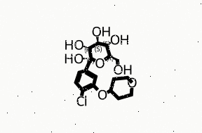 OC[C@H]1O[C@@](O)(c2ccc(Cl)c(OC3CCOCC3)c2)[C@H](O)[C@@H](O)[C@@H]1O